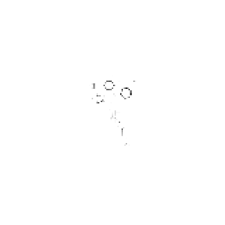 COC(=O)CCC(=O)CNC(=O)CCC1SC(c2cccc(OC)c2OC)c2cc(Cl)ccc2-n2c(C3CC3)nnc21